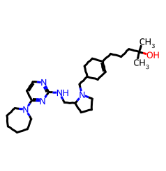 CC(C)(O)CCCC1=CCC(CN2CCCC2CNc2nccc(N3CCCCCC3)n2)CC1